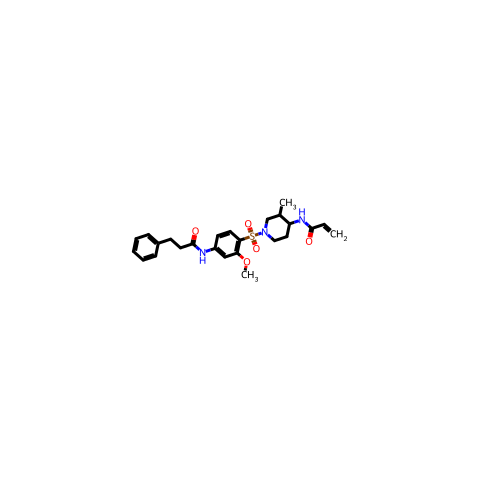 C=CC(=O)NC1CCN(S(=O)(=O)c2ccc(NC(=O)CCc3ccccc3)cc2OC)CC1C